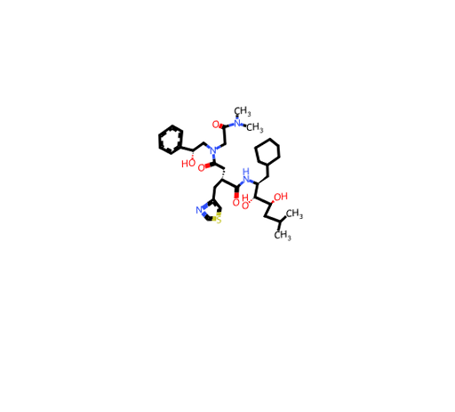 CC(C)C[C@H](O)[C@H](O)[C@H](CC1CCCCC1)NC(=O)[C@@H](CC(=O)N(CC(=O)N(C)C)C[C@H](O)c1ccccc1)Cc1cscn1